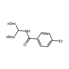 CCCCCCCCCCC(CCCCCCCCC)NC(=O)c1ccc(CC)cc1